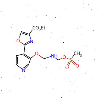 CCOC(=O)c1coc(-c2ccncc2OCNCOS(C)(=O)=O)n1